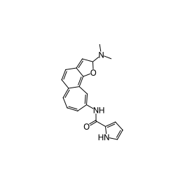 CN(C)C1C=c2ccc3c(c2O1)C=C(NC(=O)c1ccc[nH]1)C=CC=3